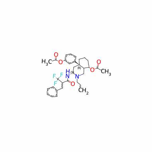 C=CCN1CC2C(OC(C)=O)CCC[C@@]2(c2cccc(OC(C)=O)c2)C[C@H]1NC(=O)C(=Cc1ccccc1)C(F)(F)F